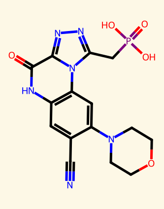 N#Cc1cc2[nH]c(=O)c3nnc(CP(=O)(O)O)n3c2cc1N1CCOCC1